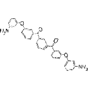 Nc1cccc(Oc2cccc(C(=O)c3cccc(C(=O)c4cccc(Oc5cccc(N)c5)c4)c3)c2)c1